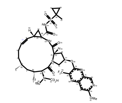 CC[C@@H]1C[C@H](C)CC/C=C\[C@@H]2C[C@@]2(C(=O)NS(=O)(=O)C2(C)CC2)NC(=O)[C@@H]2C[C@@H](Oc3nc4cnc(OC)cc4nc3C(F)(F)F)CN2C(=O)[C@H]1N(C(=O)O)C(C)(C)C